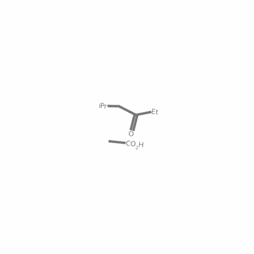 CC(=O)O.CCC(=O)CC(C)C